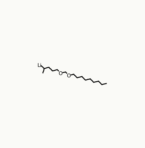 [Li][CH](C)CCCOCOCCCCCCCCC